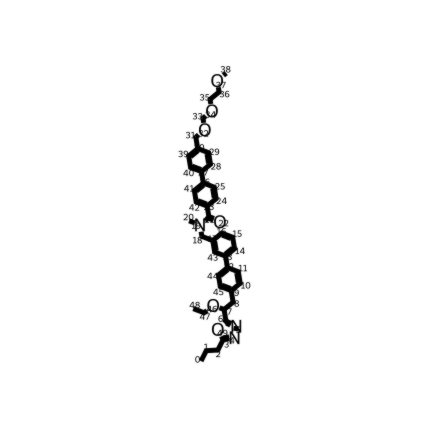 CCCc1nnc(C(Cc2ccc(-c3cccc(CN(C)C(=O)c4ccc(-c5ccc(COCOCCOC)cc5)cc4)c3)cc2)OCC)o1